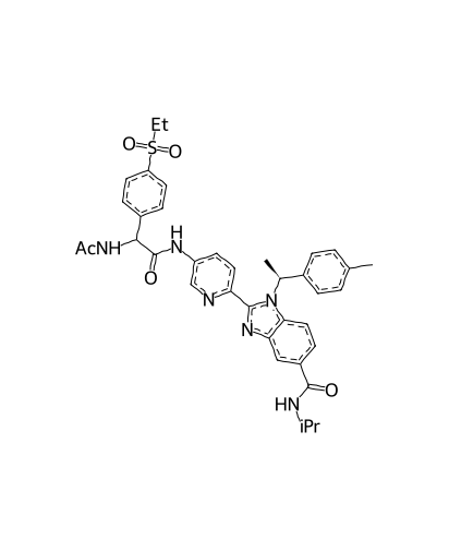 CCS(=O)(=O)c1ccc(C(NC(C)=O)C(=O)Nc2ccc(-c3nc4cc(C(=O)NC(C)C)ccc4n3[C@@H](C)c3ccc(C)cc3)nc2)cc1